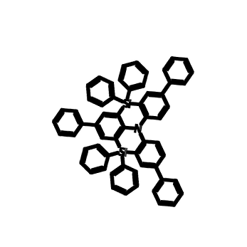 c1ccc(-c2ccc3c(c2)[Si](c2ccccc2)(c2ccccc2)c2cc(-c4ccccc4)cc4c2N3c2ccc(-c3ccccc3)cc2[Si]4(c2ccccc2)c2ccccc2)cc1